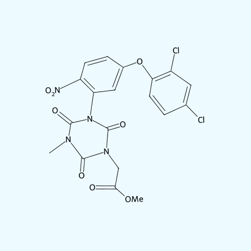 COC(=O)Cn1c(=O)n(C)c(=O)n(-c2cc(Oc3ccc(Cl)cc3Cl)ccc2[N+](=O)[O-])c1=O